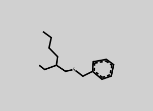 CCCCC(CC)CSCc1ccccc1